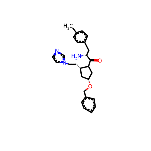 Cc1ccc(C[C@@H](N)C(=O)C2C[C@H](OCc3ccccc3)C[C@@H]2CCn2ccnc2)cc1